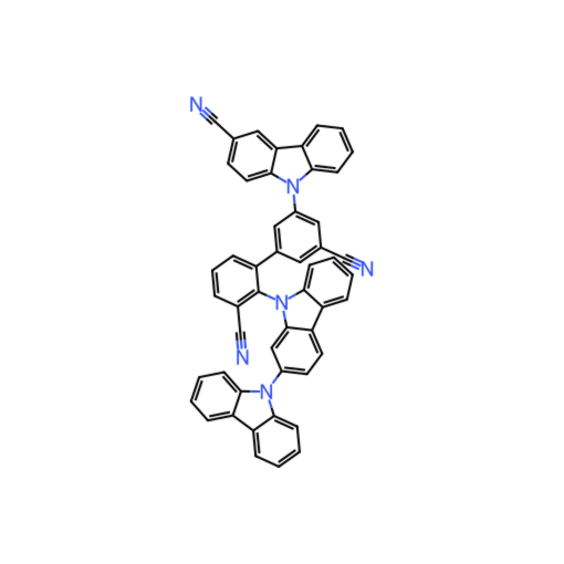 N#Cc1cc(-c2cccc(C#N)c2-n2c3ccccc3c3ccc(-n4c5ccccc5c5ccccc54)cc32)cc(-n2c3ccccc3c3cc(C#N)ccc32)c1